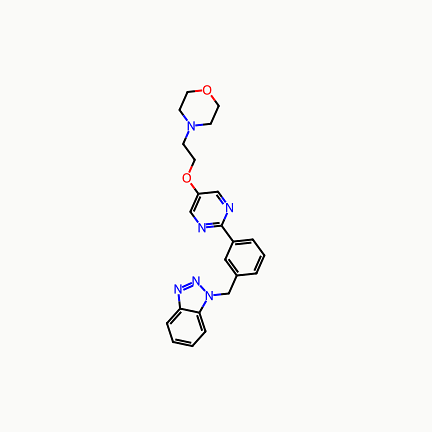 c1cc(Cn2nnc3ccccc32)cc(-c2ncc(OCCN3CCOCC3)cn2)c1